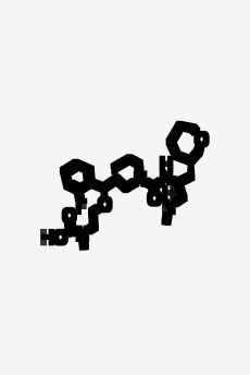 CNCC(C[C@H]1CCCCOC1)NC(=O)N1CCC[C@@H]([C@@H](OCCN(C)C(=O)O)c2ccccc2F)C1